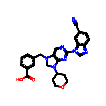 N#Cc1ccc2ncn(-c3ncc4c(n3)N(C3CCOCC3)CN4Cc3cccc(C(=O)O)c3)c2c1